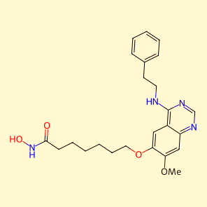 COc1cc2ncnc(NCCc3ccccc3)c2cc1OCCCCCCC(=O)NO